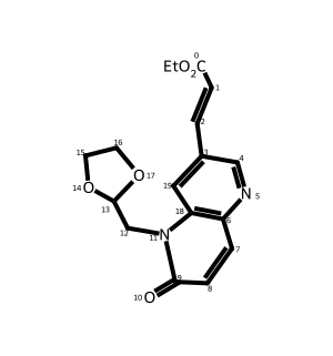 CCOC(=O)/C=C/c1cnc2ccc(=O)n(CC3OCCO3)c2c1